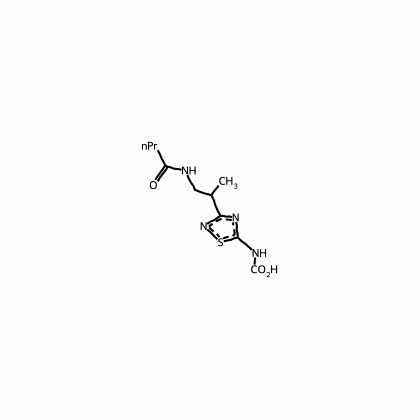 CCCC(=O)NCC(C)c1nsc(NC(=O)O)n1